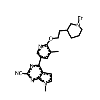 CCN1CCCC(CCOc2ncc(-c3nc(C#N)nc4c3ccn4C)cc2C)C1